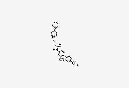 N#Cc1cc(NC(=O)CCCN2CCC(N3CCCCC3)CC2)ccc1-c1ccc(C(F)(F)F)cc1